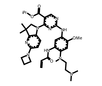 C=CC(=O)Nc1cc(Nc2ncc(C(=O)OC(C)C)c(N3CC(C)(C)c4nc(N5CCC5)ccc43)n2)c(OC)cc1N(C)CCN(C)C